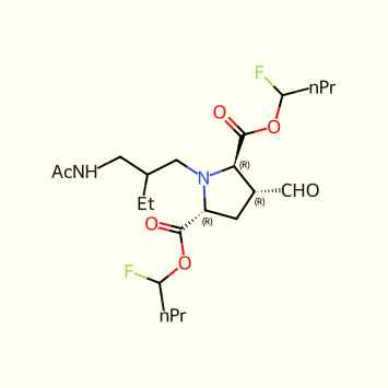 CCCC(F)OC(=O)[C@H]1C[C@@H](C=O)[C@H](C(=O)OC(F)CCC)N1CC(CC)CNC(C)=O